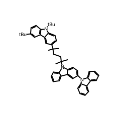 CC(C)(C)c1ccc2c(c1)c1cc(C(C)(C)CCC(C)(C)n3c4ccccc4c4cc(-n5c6ccccc6c6ccccc65)ccc43)ccc1n2C(C)(C)C